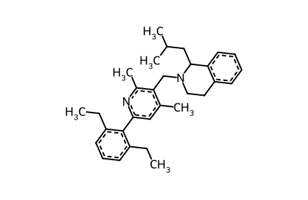 CCc1cccc(CC)c1-c1cc(C)c(CN2CCc3ccccc3C2CC(C)C)c(C)n1